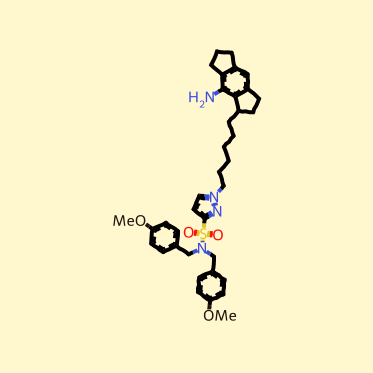 COc1ccc(CN(Cc2ccc(OC)cc2)S(=O)(=O)c2ccn(CCCCCCC3CCc4cc5c(c(N)c43)CCC5)n2)cc1